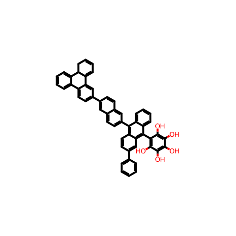 Oc1c(O)c(O)c(-c2c3ccccc3c(-c3ccc4cc(-c5ccc6c(c5)C5=CC=CCC5c5ccccc5-6)ccc4c3)c3ccc(-c4ccccc4)cc23)c(O)c1O